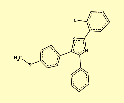 CSc1ccc(-c2sc(-c3ccccc3Cl)nc2-c2ccccc2)cc1